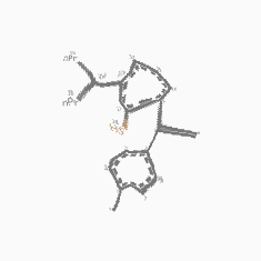 C=C(c1ccc(C)cc1)c1cccc(C(CCC)CCC)c1S